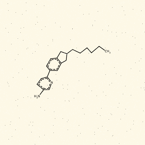 CCCCCCC1Cc2ccc(-c3ccc(N)cn3)cc2C1